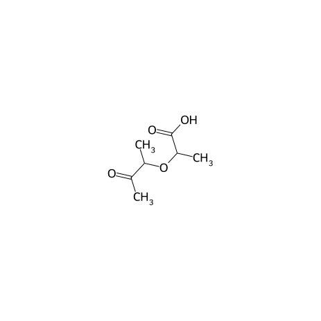 CC(=O)C(C)OC(C)C(=O)O